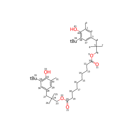 Cc1cc(CC(C)(C)COC(=O)CCCCCCCCC(=O)OCC(C)(C)Cc2cc(C)c(O)c(C(C)(C)C)c2)cc(C(C)(C)C)c1O